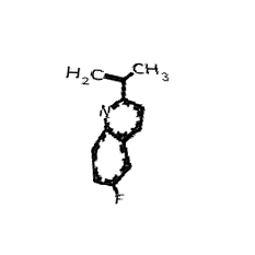 C=C(C)c1ccc2cc(F)ccc2n1